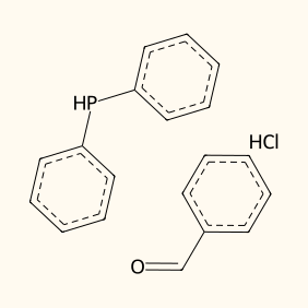 Cl.O=Cc1ccccc1.c1ccc(Pc2ccccc2)cc1